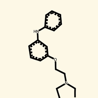 CCN(CC)CCOc1cccc(Nc2ccccc2)c1